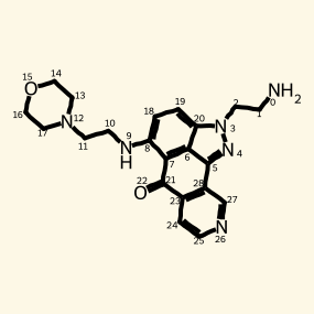 NCCn1nc2c3c(c(NCCN4CCOCC4)ccc31)C(=O)c1ccncc1-2